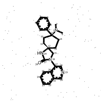 CN(C)[C@]1(c2ccccc2)CC[C@@]2(CC1)CN(c1cncc3ccccc13)C(=O)N2